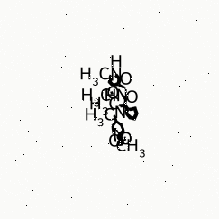 COc1cc(C)[nH]c(=O)c1CNC(=O)c1c(C)n([C@@H](C)C2CCN(S(C)(=O)=O)CC2)c2ccccc12